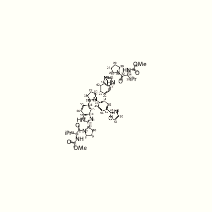 COC(=O)NC(C(=O)N1CCC[C@H]1c1nc2cc([C@H]3CC[C@H](c4ccc5[nH]c([C@@H]6CCCN6C(=O)C(NC(=O)OC)C(C)C)nc5c4)N3c3ccc(-c4ncco4)cc3)ccc2[nH]1)C(C)C